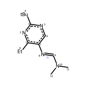 CCc1nc(C(C)(C)C)ncc1/N=C/N(C)C